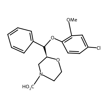 COc1cc(Cl)ccc1OC(c1ccccc1)[C@@H]1CN(C(=O)O)CCO1